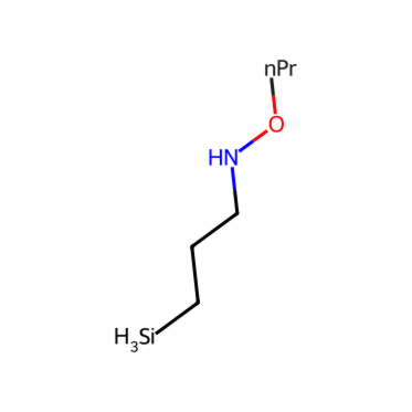 CCCONCCC[SiH3]